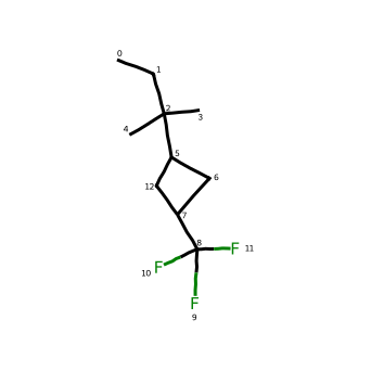 CCC(C)(C)C1CC(C(F)(F)F)C1